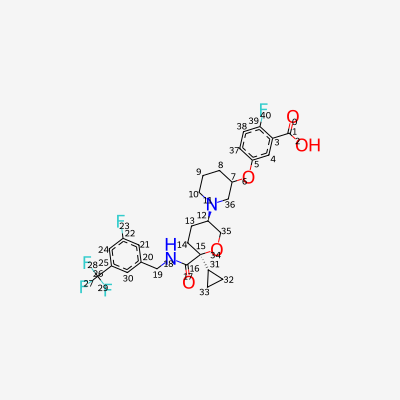 O=C(O)c1cc(OC2CCCN([C@@H]3CC[C@@](C(=O)NCc4cc(F)cc(C(F)(F)F)c4)(C4CC4)OC3)C2)ccc1F